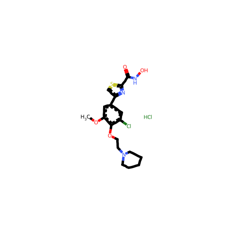 COc1cc(-c2csc(C(=O)NO)n2)cc(Cl)c1OCCN1CCCCC1.Cl